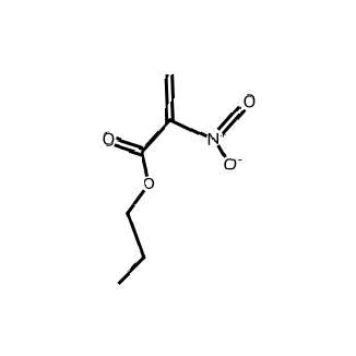 C=C(C(=O)OCCC)[N+](=O)[O-]